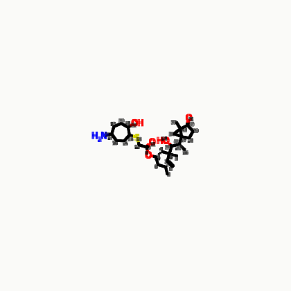 C=C[C@](C)(C[C@H](CCC)OC(=O)CSC1CCC(N)CCC1O)C(O)[C@H](C)C12CCC(=O)C1(C)C2